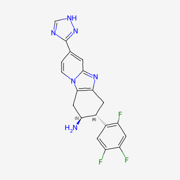 N[C@H]1Cc2c(nc3cc(-c4nc[nH]n4)ccn23)C[C@@H]1c1cc(F)c(F)cc1F